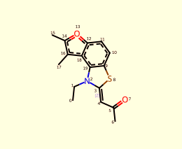 CCN1/C(=C/C(C)=O)Sc2ccc3oc(C)c(C)c3c21